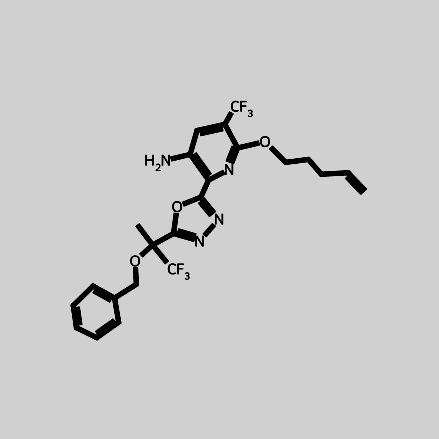 C=CCCCOc1nc(-c2nnc(C(C)(OCc3ccccc3)C(F)(F)F)o2)c(N)cc1C(F)(F)F